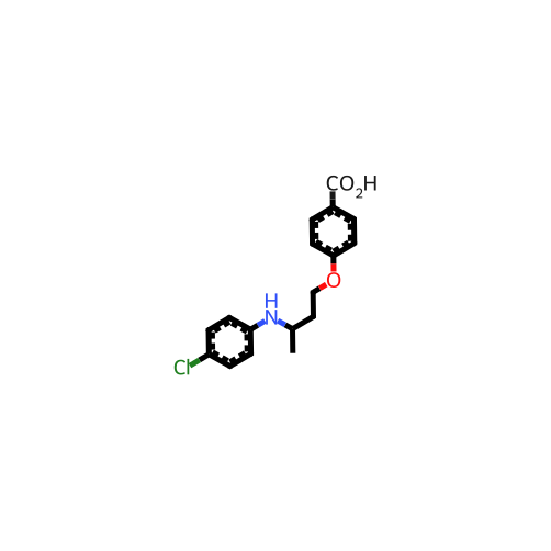 CC(CCOc1ccc(C(=O)O)cc1)Nc1ccc(Cl)cc1